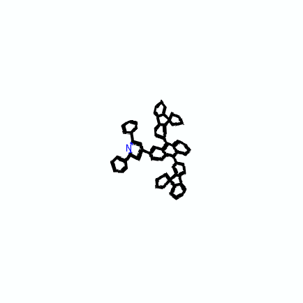 c1ccc(-c2cc(-c3ccc4c(-c5ccc6c(c5)C5(CCCC5)c5ccccc5-6)c5ccccc5c(-c5ccc6c(c5)C5(CCCC5)c5ccccc5-6)c4c3)cc(-c3ccccc3)n2)cc1